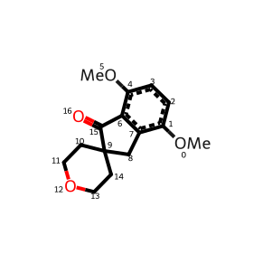 COc1ccc(OC)c2c1CC1(CCOCC1)C2=O